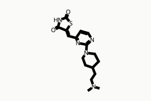 CN(C)CCC1CCN(c2nccc(/C=C3\SC(=O)NC3=O)n2)CC1